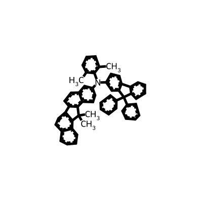 Cc1cccc(C)c1N(c1ccc2c(c1)C(c1ccccc1)(c1ccccc1)c1ccccc1-2)c1ccc2c3c(ccc2c1)-c1ccc2ccccc2c1C3(C)C